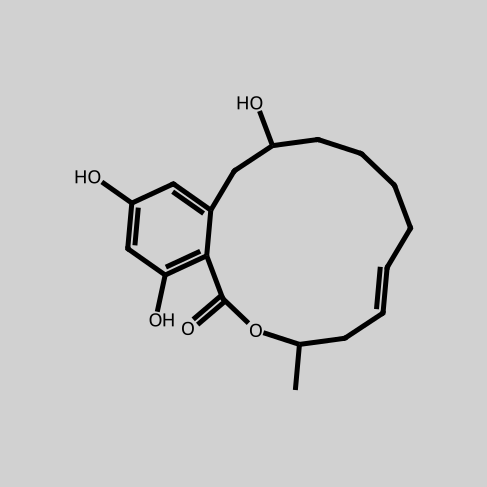 CC1C/C=C/CCCCC(O)Cc2cc(O)cc(O)c2C(=O)O1